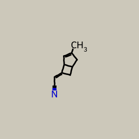 CC1=CC2/C(=C/C#N)CC2C1